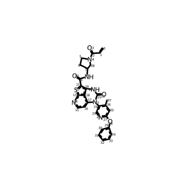 C=CC(=O)N1CCC(NC(=O)c2sc3nccc4c3c2NC(=O)N4c2cnc(Oc3ccccc3)cc2C)C1